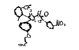 Cc1cccc(C(F)(F)F)c1-c1nc(NS(=O)(=O)c2cccc([N+](=O)[O-])c2)sc1-c1cccc(OCCC(C)(C)C)c1